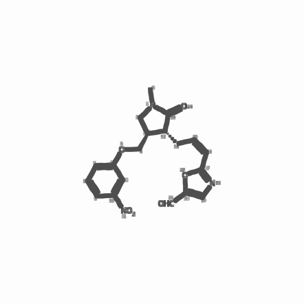 CN1C[C@H](COc2cccc([N+](=O)[O-])c2)[C@@H](C/C=C\c2ncc(C=O)o2)C1=O